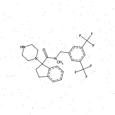 CN(Cc1cc(C(F)(F)F)cc(C(F)(F)F)c1)C(=O)C1(N2CCNCC2)CCc2ccccc21